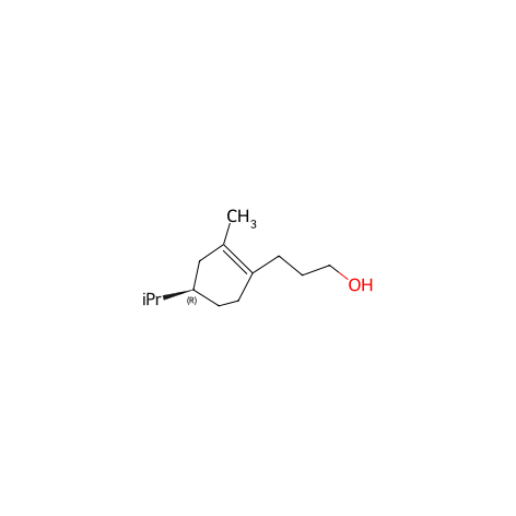 CC1=C(CCCO)CC[C@@H](C(C)C)C1